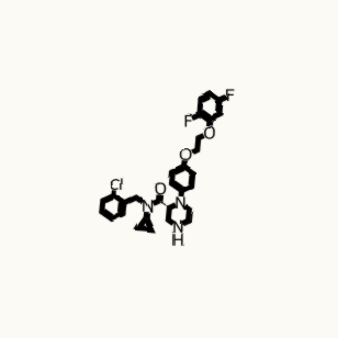 O=C([C@H]1CNCCN1c1ccc(OCCOc2cc(F)ccc2F)cc1)N(Cc1ccccc1Cl)C1CC1